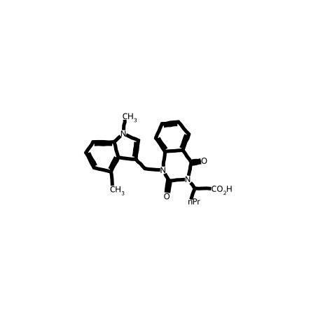 CCCC(C(=O)O)n1c(=O)c2ccccc2n(Cc2cn(C)c3cccc(C)c23)c1=O